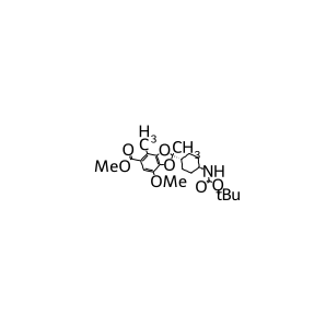 COC(=O)c1cc(OC)c2c(c1C)OC(C)([C@H]1CC[C@H](NC(=O)OC(C)(C)C)CC1)O2